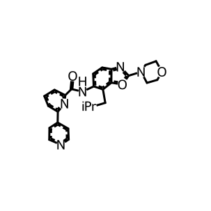 CC(C)Cc1c(NC(=O)c2cccc(-c3ccncc3)n2)ccc2nc(N3CCOCC3)oc12